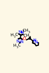 Cc1ncc(-c2c(C)nn(C)c2C)c(OCC2CC2c2cc3n(n2)CCC3)n1